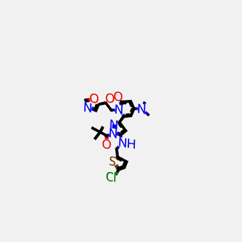 CN(C)c1cc(-c2cc(NCc3ccc(Cl)s3)n(C(=O)C(C)(C)C)n2)n(CC(=O)c2cnco2)c(=O)c1